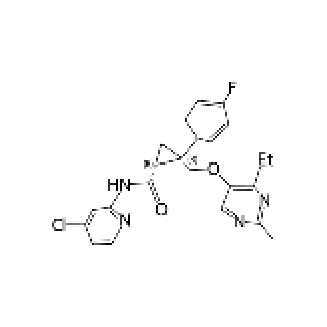 CCc1nc(C)ncc1OC[C@@]1(C2C=CC(F)=CC2)C[C@H]1C(=O)Nc1cc(Cl)ccn1